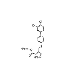 CCCCCOC(=O)c1[nH]nnc1CSc1ccc(-c2ccc(Cl)c(Cl)c2)cc1